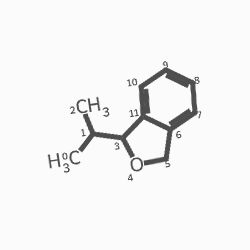 CC(C)C1OCc2ccccc21